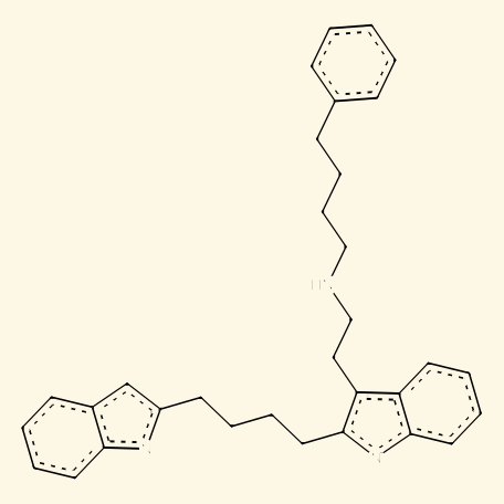 c1ccc(CCCCNCCc2c(CCCCc3cc4ccccc4[nH]3)[nH]c3ccccc23)cc1